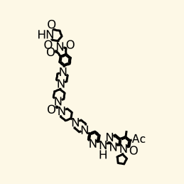 CC(=O)c1c(C)c2cnc(Nc3ccc(N4CCN(C5CCN(C(=O)N6CCC(N7CCN(c8ccc9c(c8)C(=O)N(C8CCC(=O)NC8=O)C9=O)CC7)CC6)CC5)CC4)cn3)nc2n(C2CCCC2)c1=O